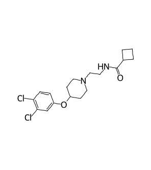 O=C(NCCN1CCC(Oc2ccc(Cl)c(Cl)c2)CC1)C1CCC1